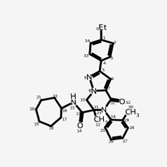 CCc1ccc(-c2cc3n(n2)CC(C)(C(=O)NC2CCCCCC2)N(c2ccccc2C)C3=O)cc1